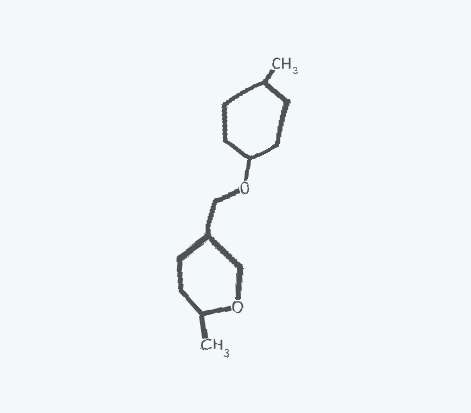 CC1CCC(OCC2CCC(C)OC2)CC1